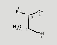 CC[C@H](O)CO.O